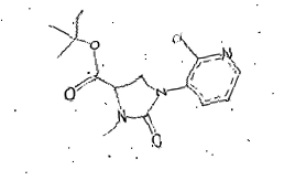 CN1C(=O)N(c2cccnc2Cl)CC1C(=O)OC(C)(C)C